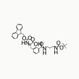 CC(C)(C)OC(=O)NCCCNC(=O)c1cccc(C[C@H](NC(=O)OCC2c3ccccc3-c3ccccc32)C(=O)O)c1